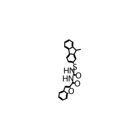 CC1c2ccccc2-c2ccc(SNC(=O)NC(=O)c3cc4ccccc4o3)cc21